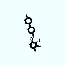 Cc1ccc(OCC2=CCC(C3CCC(C)CC3)CC2)c(Cl)c1F